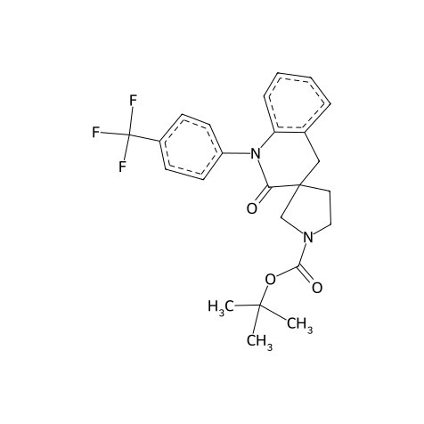 CC(C)(C)OC(=O)N1CCC2(Cc3ccccc3N(c3ccc(C(F)(F)F)cc3)C2=O)C1